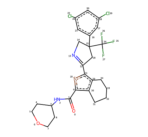 O=C(NC1CCOCC1)c1sc(C2=NCC(c3cc(Cl)cc(Cl)c3)(C(F)(F)F)C2)c2c1CCCC2